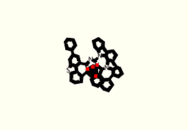 c1ccc(-c2cc(-c3nc(-c4ccccc4)nc(-n4c5ccccc5c5ccc6c7cccc8c7n(c6c54)-c4ccccc4-c4ccccc4-8)n3)c3c(c2)sc2cccc(-c4ccccc4)c23)cc1